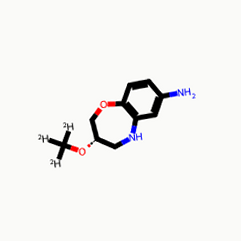 [2H]C([2H])([2H])O[C@H]1CNc2cc(N)ccc2OC1